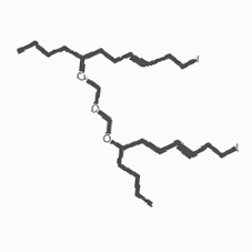 CCCCC(CCC=CCCI)OCOCOC(CCC=CCCI)CCCC